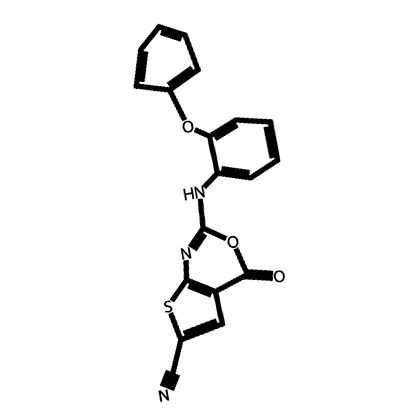 N#Cc1cc2c(=O)oc(Nc3ccccc3Oc3ccccc3)nc2s1